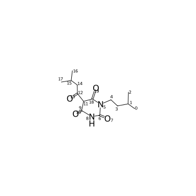 CC(C)CCN1C(=O)NC(=O)C(C(=O)CC(C)C)C1=O